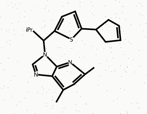 Cc1cc(C)c2ncn(C(c3ccc(C4CC=CC4)s3)C(C)C)c2n1